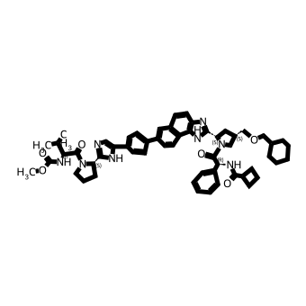 COC(=O)N[C@H](C(=O)N1CCC[C@H]1c1ncc(-c2ccc(-c3ccc4c(ccc5nc([C@@H]6C[C@H](COCC7CCCCC7)CN6C(=O)[C@H](NC(=O)C6CCC6)c6ccccc6)[nH]c54)c3)cc2)[nH]1)C(C)C